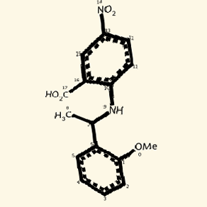 COc1ccccc1C(C)Nc1ccc([N+](=O)[O-])cc1C(=O)O